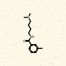 Cc1cccc(C(=O)NCCCCN(C)C)c1